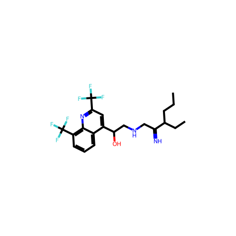 CCCC(CC)C(=N)CNCC(O)c1cc(C(F)(F)F)nc2c(C(F)(F)F)cccc12